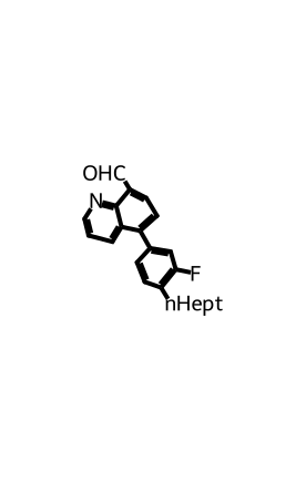 CCCCCCCc1ccc(-c2ccc(C=O)c3ncccc23)cc1F